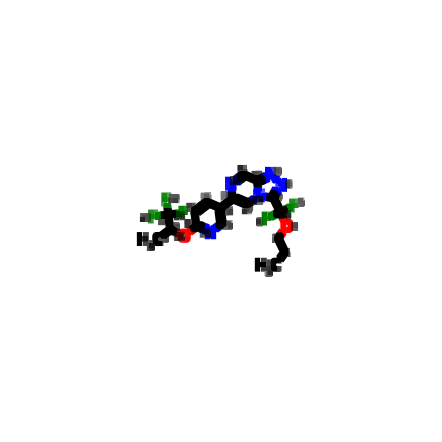 CCCOC(F)(F)c1nnc2cnc(-c3ccc(OC(C)C(F)(F)F)nc3)cn12